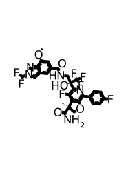 COc1cc(C(=O)NC[C@](O)(c2nc(-c3ccc(F)cc3)c3c(c2F)[C@](C)(C(N)=O)CO3)C(F)(F)F)cc2cn(C(F)F)nc12